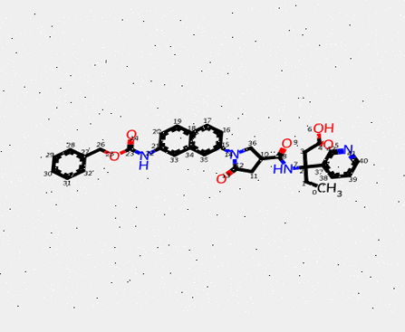 CCC(CC(=O)O)(NC(=O)C1CC(=O)N(c2ccc3ccc(NC(=O)OCc4ccccc4)cc3c2)C1)c1cccnc1